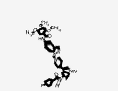 COc1cc(OC)c(C(=O)Nc2ccc3c(cnn3CN3CCC(c4c[nH]c5ccc(NC(=O)c6ccc(F)cc6)cc45)CC3)c2)cc1OC